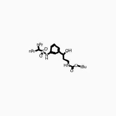 CCCC(CCC)S(=O)(=O)Nc1cccc(C(O)CCNC(=O)OC(C)(C)C)c1